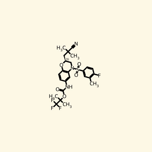 Cc1cc(S(=O)(=O)N2C[C@H](CC(C)(C)C#N)Oc3ccc(NC(=O)OC(C)(C)C(F)(F)F)cc32)ccc1F